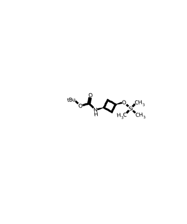 CC(C)(C)OC(=O)N[C@H]1C[C@@H](O[Si](C)(C)C)C1